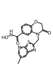 Cc1cnc2sc(CN3C(=O)COc4ccc(C(=O)NO)cc43)nc2c1